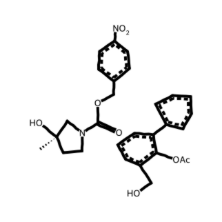 CC(=O)Oc1c(CO)cccc1-c1ccccc1.C[C@@]1(O)CCN(C(=O)OCc2ccc([N+](=O)[O-])cc2)C1